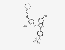 CCS(=O)(=O)Oc1ccc(-c2sc3cc(O)ccc3c2Oc2ccc(OCCN3CCCCC3)cc2)cc1.Cl